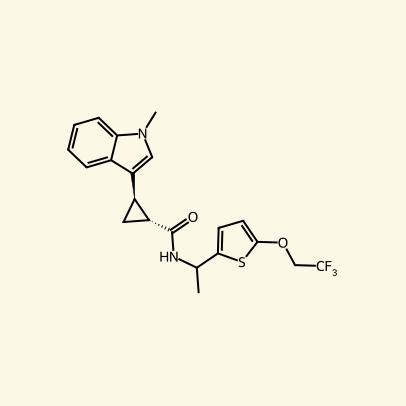 CC(NC(=O)[C@@H]1C[C@H]1c1cn(C)c2ccccc12)c1ccc(OCC(F)(F)F)s1